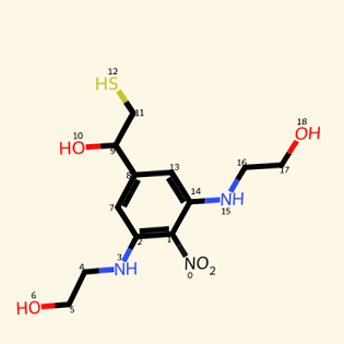 O=[N+]([O-])c1c(NCCO)cc(C(O)CS)cc1NCCO